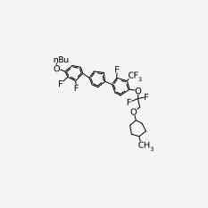 CCCCOc1ccc(-c2ccc(-c3ccc(OC(F)(F)COC4CCC(C)CC4)c(C(F)(F)F)c3F)cc2)c(F)c1F